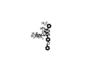 CCCn1c(-c2cccc(C)c2)nc2nc(-c3ccc(OCc4ccccc4)cc3)n(COCC[Si](C)(C)C)c2c1=O